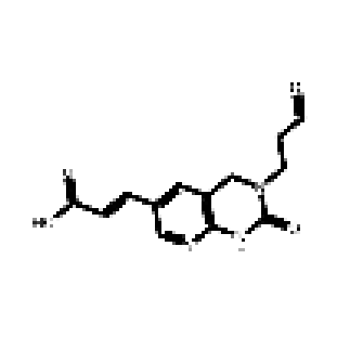 O=CCCN1Cc2cc(/C=C/C(=O)O)cnc2NC1=O